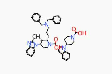 Cc1nc2ccccc2n1C1CCN(C(=O)O)[C@@H](CCCN(Cc2ccccc2)Cc2ccccc2)C1.O=C(O)N1CCC(n2ccc3ccccc32)CC1